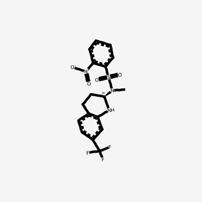 CN([C@@H]1CCc2ccc(C(F)(F)F)cc2N1)S(=O)(=O)c1ccccc1[N+](=O)[O-]